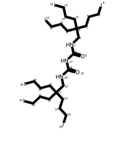 O=C(NCC(CCCI)(CCCI)CCCI)NC(=O)NCC(CCCI)(CCCI)CCCI